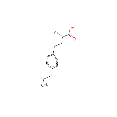 CCCc1ccc(CCC(Cl)C(=O)O)cc1